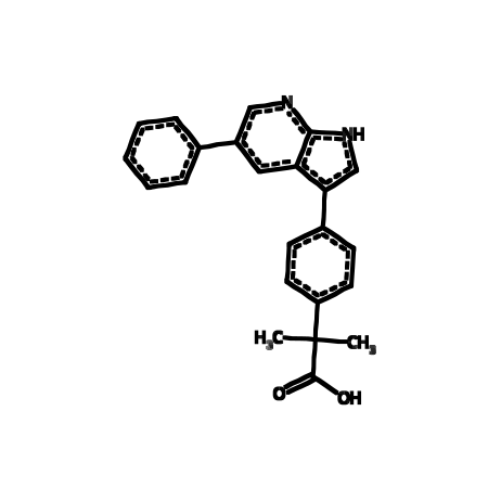 CC(C)(C(=O)O)c1ccc(-c2c[nH]c3ncc(-c4ccccc4)cc23)cc1